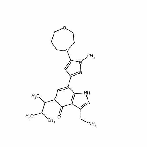 CC(C)C(C)n1cc(-c2cc(N3CCCOCC3)n(C)n2)c2[nH]nc(CN)c2c1=O